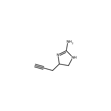 C#CCC1CNC(N)=N1